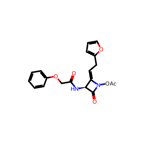 CC(=O)ON1C(=O)[C@@H](NC(=O)COc2ccccc2)C1=CCc1ccco1